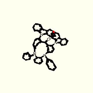 O=C1c2cc(ccc2-n2c3ccccc3c3ccccc32)N(c2ccccc2)c2ccccc2N(c2ccccc2)c2ccc(-n3c4ccccc4c4ccccc43)c1c2